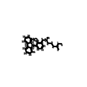 CCC(C)CCCN(C)Cc1cccc(-n2c3ccccc3c3ccccc32)c1O